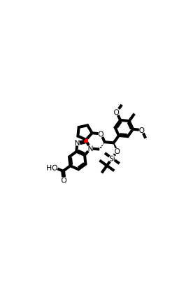 COc1cc([C@@H](O[Si](C)(C)C(C)(C)C)[C@H](Cn2cnc3cc(C(=O)O)ccc32)OC2CCCC2)cc(OC)c1C